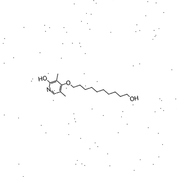 Cc1cnc(O)c(C)c1OCCCCCCCCCCO